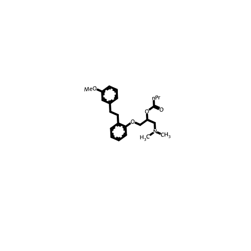 CCCC(=O)OC(COc1ccccc1CCc1cccc(OC)c1)CN(C)C